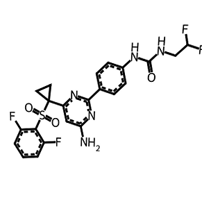 Nc1cc(C2(S(=O)(=O)c3c(F)cccc3F)CC2)nc(-c2ccc(NC(=O)NCC(F)F)cc2)n1